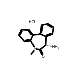 CN1C(=O)[C@@H](N)c2ccccc2-c2ccccc21.Cl